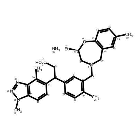 CC[C@@H]1CN(Cc2cc(C(CC(=O)O)c3ccc4c(nnn4C)c3C)ccc2C)Cc2cc(C)ccc2O1.N